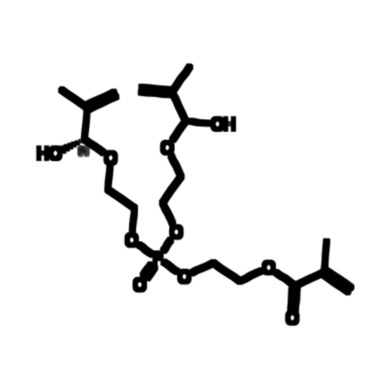 C=C(C)C(=O)OCCOP(=O)(OCCOC(O)C(=C)C)OCCO[C@H](O)C(=C)C